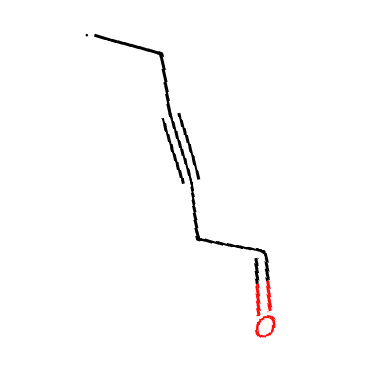 [CH2]CC#CCC=O